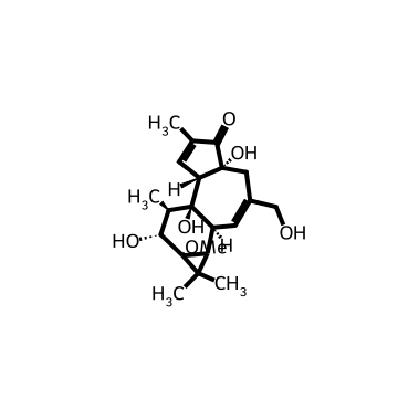 COC12C([C@@H]3C=C(CO)C[C@]4(O)C(=O)C(C)=C[C@H]4[C@@]3(O)[C@H](C)[C@H]1O)C2(C)C